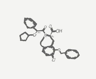 O=C(O)[C@H]1Cc2c(ccc(Cl)c2OCc2ccccc2)CN1C(=O)[C@H](OC1CCCC1)c1ccccc1